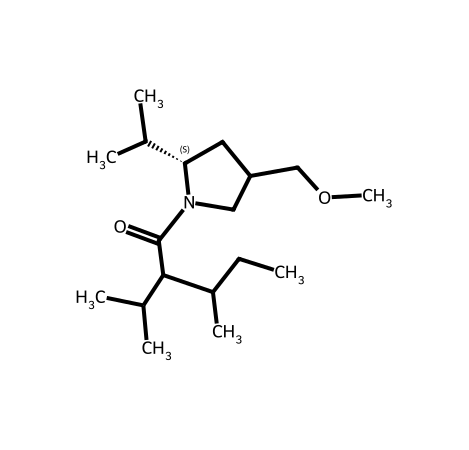 CCC(C)C(C(=O)N1CC(COC)C[C@H]1C(C)C)C(C)C